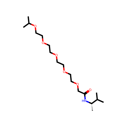 CC(C)OCCOCCOCCOCCOCC(=O)N[C@@H](C)C(C)C